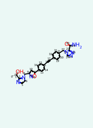 C[C@H](O)c1nccn1Cc1cc(-c2ccc(C#Cc3ccc(Cn4cnnc4C(N)=O)cc3)cc2)on1